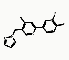 Cc1cc(-c2ccc(F)c(F)c2)ncc1Cn1cccn1